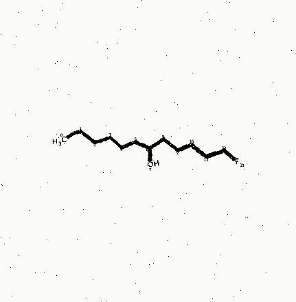 CCCCCCC(O)CCCCCF